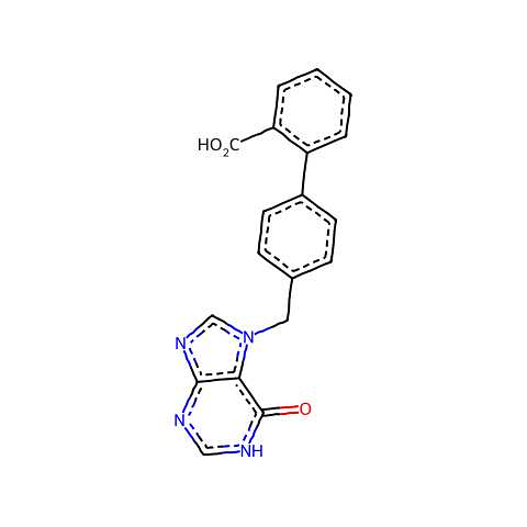 O=C(O)c1ccccc1-c1ccc(Cn2cnc3nc[nH]c(=O)c32)cc1